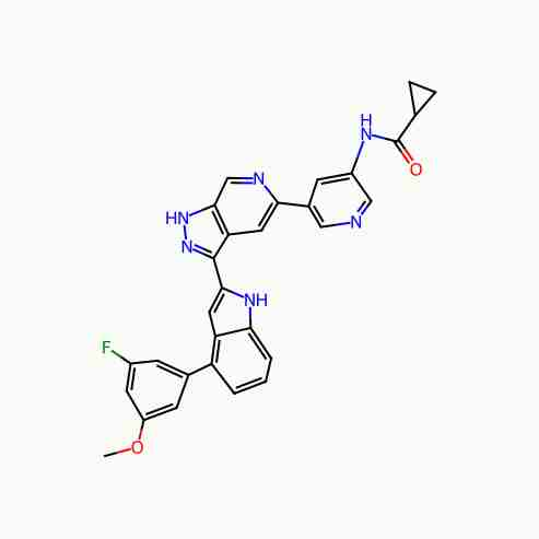 COc1cc(F)cc(-c2cccc3[nH]c(-c4n[nH]c5cnc(-c6cncc(NC(=O)C7CC7)c6)cc45)cc23)c1